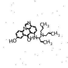 C=CCN(CC=C)C(C=C)Nc1ccc2ncn3c4ccc(O)cc4c(=O)c1c23